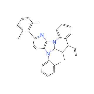 C=CC1c2ccccc2N2c3nc(-c4c(C)cccc4C)ccc3N(c3ccccc3C)C2C1C